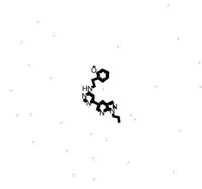 CCCn1ncc2cc(-c3cc(NCCc4ccccc4OC)ncn3)cnc21